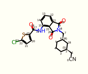 N#CC[C@H]1CCC[C@@H](CN2C(=O)c3cccc(NC(=O)c4ccc(Cl)s4)c3C2=O)C1